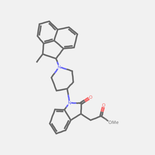 COC(=O)CC1C(=O)N(C2CCN(C3c4cccc5cccc(c45)C3C)CC2)c2ccccc21